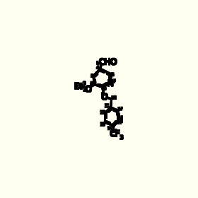 CCOc1cc(C=O)cnc1OCc1ccc(C(F)(F)F)nc1